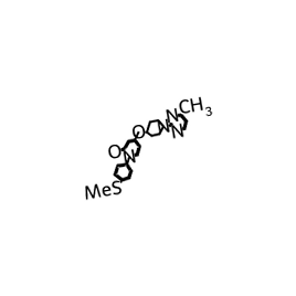 CSc1ccc(-n2ccc(OC3CCN(c4nccc(C)n4)CC3)cc2=O)cc1